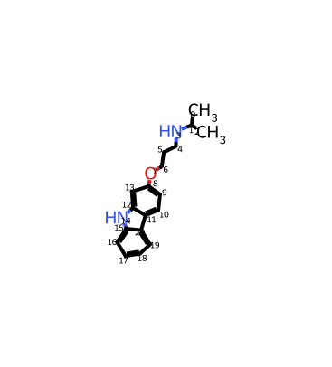 CC(C)NCCCOc1ccc2c(c1)[nH]c1ccccc12